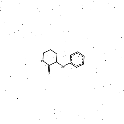 O=C1NCCCC1[Se]c1ccccc1